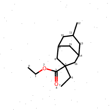 CCOC(=O)C1(CC)CC2CC(C)CC(C2)C1